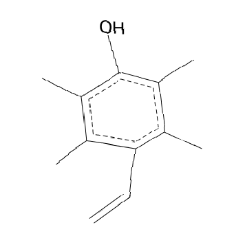 C=Cc1c(C)c(C)c(O)c(C)c1C